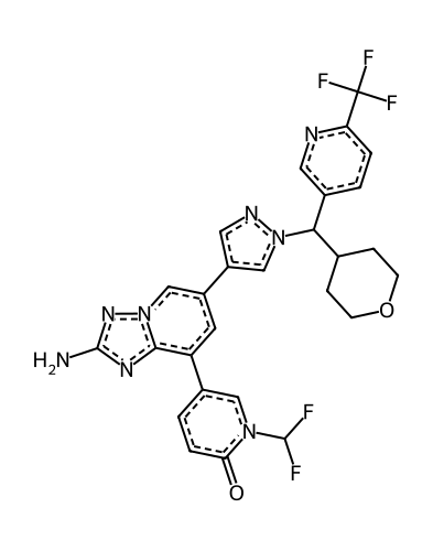 Nc1nc2c(-c3ccc(=O)n(C(F)F)c3)cc(-c3cnn(C(c4ccc(C(F)(F)F)nc4)C4CCOCC4)c3)cn2n1